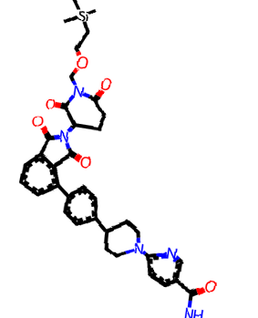 C[Si](C)(C)CCOCN1C(=O)CCC(N2C(=O)c3cccc(-c4ccc(C5CCN(c6ccc(C(N)=O)cn6)CC5)cc4)c3C2=O)C1=O